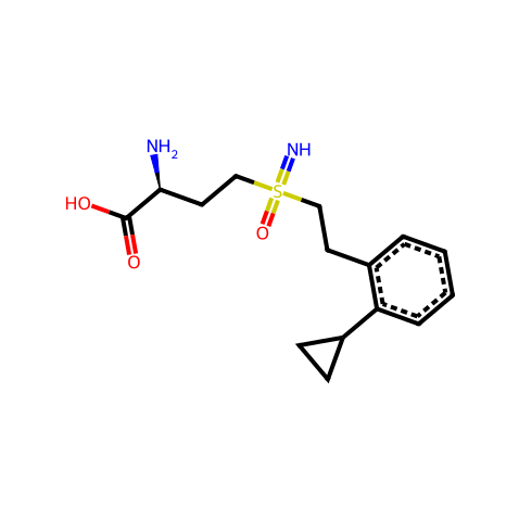 N=S(=O)(CCc1ccccc1C1CC1)CC[C@H](N)C(=O)O